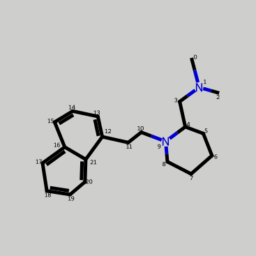 CN(C)CC1CCCCN1CCc1cccc2ccccc12